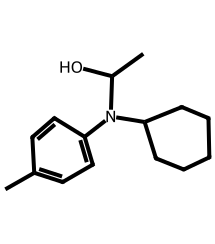 Cc1ccc(N(C(C)O)C2CCCCC2)cc1